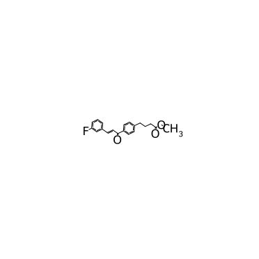 COC(=O)CCCc1ccc(C(=O)C=Cc2cccc(F)c2)cc1